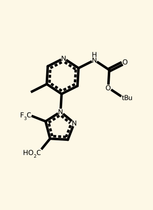 Cc1cnc(NC(=O)OC(C)(C)C)cc1-n1ncc(C(=O)O)c1C(F)(F)F